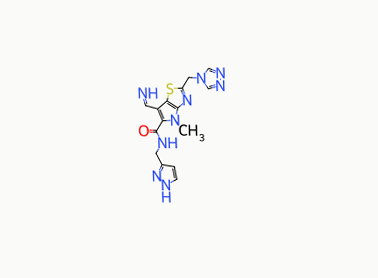 Cn1c(C(=O)NCc2cc[nH]n2)c(C=N)c2sc(Cn3cnnc3)nc21